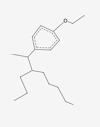 [CH2]C(c1ccc(OCC)cc1)C(CCC)CCCCC